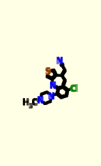 CN1CCN(c2ccc(Cl)c3c2=Nc2cscc2/C(=C\C#N)C=3)CC1